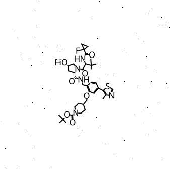 Cc1ncsc1-c1ccc(CNC(=O)[C@@H]2C[C@@H](O)CN2C(=O)C(NC(=O)C2(F)CC2)C(C)(C)C)c(OCC2CCN(C(=O)OC(C)(C)C)CC2)c1